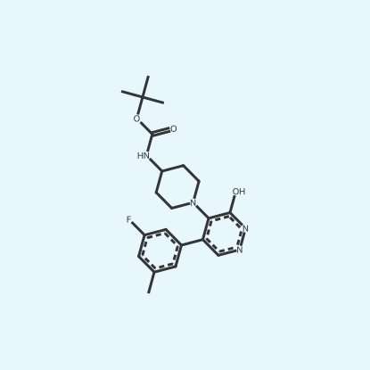 Cc1cc(F)cc(-c2cnnc(O)c2N2CCC(NC(=O)OC(C)(C)C)CC2)c1